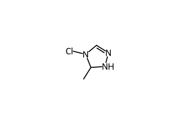 CC1NN=CN1Cl